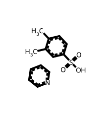 Cc1ccc(S(=O)(=O)O)cc1C.c1ccncc1